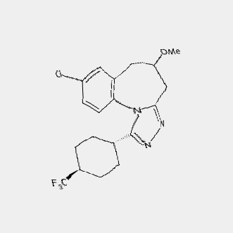 COC1Cc2cc(Cl)ccc2-n2c(nnc2[C@H]2CC[C@H](C(F)(F)F)CC2)C1